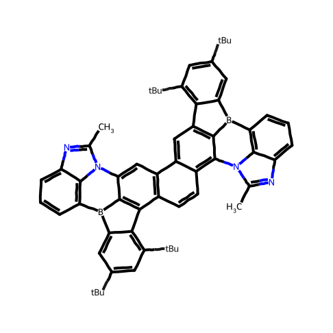 Cc1nc2cccc3c2n1-c1cc2c(ccc4c5c6c(cc42)-c2c(cc(C(C)(C)C)cc2C(C)(C)C)B6c2cccc4nc(C)n-5c24)c2c1B3c1cc(C(C)(C)C)cc(C(C)(C)C)c1-2